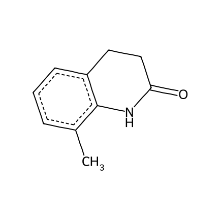 Cc1cccc2c1NC(=O)CC2